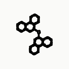 c1ccc2c(c1)cc(Oc1cc3ccccc3c3ccccc13)c1ccccc12